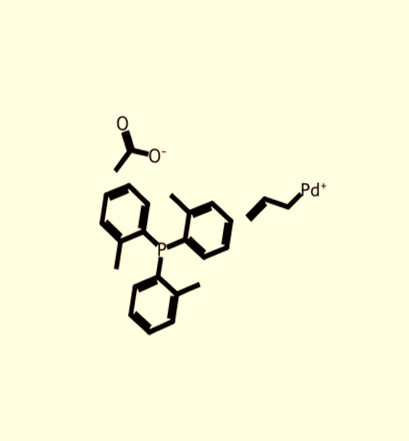 C=C[CH2][Pd+].CC(=O)[O-].Cc1ccccc1P(c1ccccc1C)c1ccccc1C